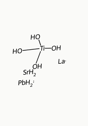 [La].[OH][Ti]([OH])([OH])[OH].[PbH2].[SrH2]